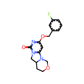 O=c1nc(OCc2cccc(F)c2)cc2n1CC1CCOCN21